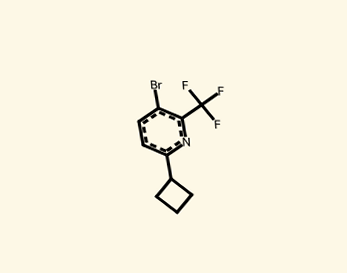 FC(F)(F)c1nc(C2CCC2)ccc1Br